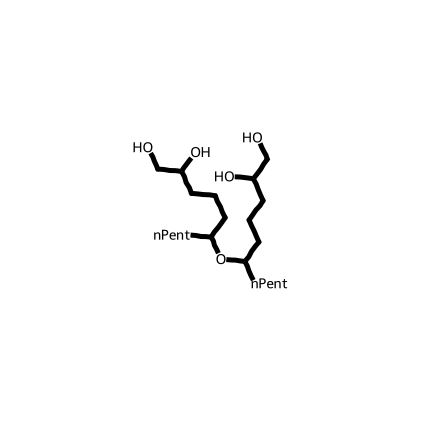 CCCCCC(CCCC(O)CO)OC(CCCCC)CCCC(O)CO